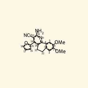 COc1cc2c(cc1OC)-c1nc(N)c(C#N)c(-c3ccco3)c1CC2